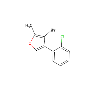 Cc1occ(-c2ccccc2Cl)c1C(C)C